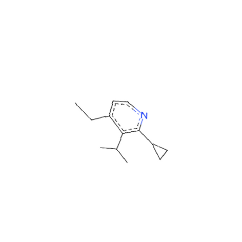 CCc1ccnc(C2CC2)c1C(C)C